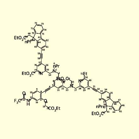 CCCN(Cc1cc(C#Cc2ccc(NC(=O)C(F)(F)F)cc2OCC(=O)OCC)cc(CN(CC(=O)OCC)Cc2cc(C#Cc3ccc4c(c3)C(CCC)(CC(=O)OCC)c3ccccc3-4)cc(CC)n2)n1)Cc1cc(C#Cc2ccc3c(c2)C(CCC)(CC(=O)OCC)c2ccccc2-3)cc(C(=O)OCC)n1